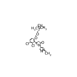 C=Cn1cc(N2C[C@@H](c3c(OCOCC[Si](C)(C)C)ccc(Cl)c3Cl)CC2=O)cn1